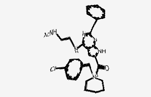 CC(=O)NCCNc1nc(-c2ccccc2)nc2[nH]c(C(=O)[N+]3(Cc4ccc(Cl)cc4)CCCCC3)cc12